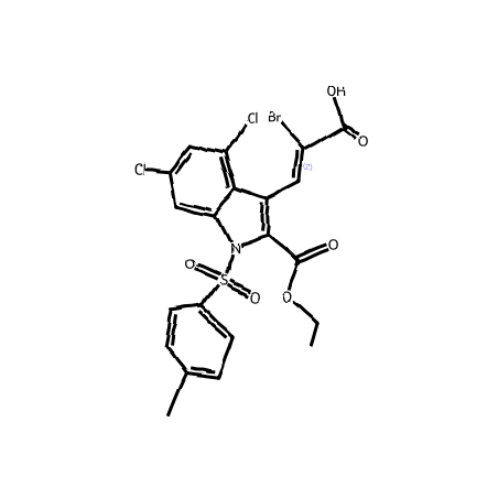 CCOC(=O)c1c(/C=C(\Br)C(=O)O)c2c(Cl)cc(Cl)cc2n1S(=O)(=O)c1ccc(C)cc1